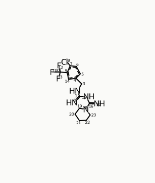 N=C(NCc1ccc(Cl)c(C(F)(F)F)c1)NC(=N)N1CCCCC1